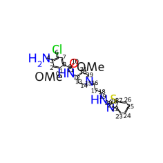 COc1cc(N)c(Cl)cc1C(=O)NC1CCN(CCCNc2nc3ccccc3s2)CC1OC